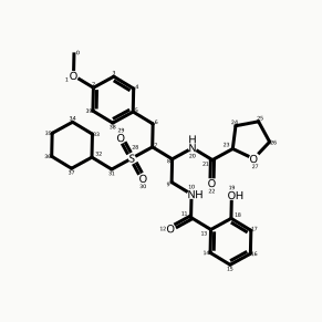 COc1ccc(CC(C(CNC(=O)c2ccccc2O)NC(=O)C2CCCO2)S(=O)(=O)CC2CCCCC2)cc1